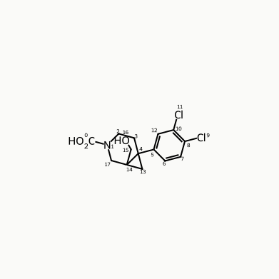 O=C(O)N1CCC2(c3ccc(Cl)c(Cl)c3)CC2(CO)C1